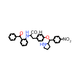 O=C(c1ccccc1)c1ccccc1NC(Cc1ccc(OC(c2ccc([N+](=O)[O-])cc2)C2CCCN2)cc1)C(=O)O